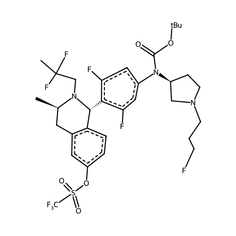 C[C@@H]1Cc2cc(OS(=O)(=O)C(F)(F)F)ccc2[C@@H](c2c(F)cc(N(C(=O)OC(C)(C)C)[C@H]3CCN(CCCF)C3)cc2F)N1CC(C)(F)F